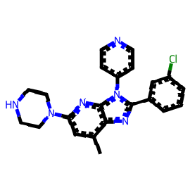 Cc1cc(N2CCNCC2)nc2c1nc(-c1cccc(Cl)c1)n2-c1ccncc1